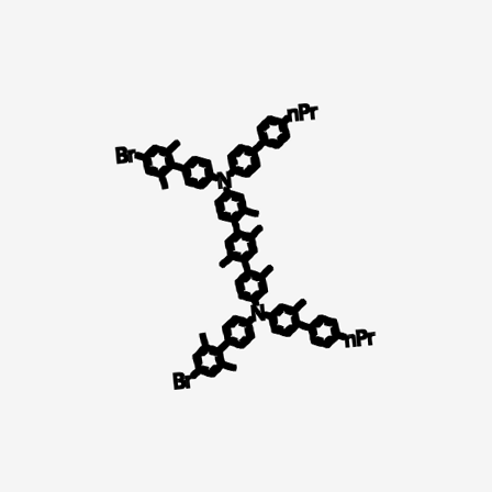 CCCc1ccc(-c2ccc(N(c3ccc(-c4c(C)cc(Br)cc4C)cc3)c3ccc(-c4cc(C)c(-c5ccc(N(c6ccc(-c7c(C)cc(Br)cc7C)cc6)c6ccc(-c7ccc(CCC)cc7)c(C)c6)cc5C)cc4C)c(C)c3)cc2)cc1